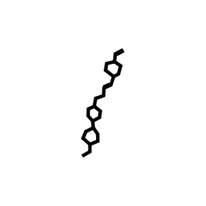 C=CC1CCC(/C=C/CCC2CCC(C3CCC(CC)CC3)CC2)CC1